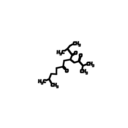 CCC(C)C(=O)C(CC(=O)CCCC(C)C)CC(=O)C(C)C